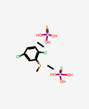 CC.CC.CSc1cc(Cl)ccc1Cl.OP(O)(O)=S.OP(O)(O)=S